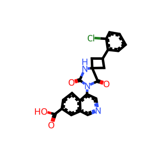 O=C(O)c1ccc2c(N3C(=O)NC4(CC(c5ccccc5Cl)C4)C3=O)cncc2c1